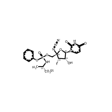 CCOC(=O)[C@H](C)NP(=O)(OC[C@@]1(N=[N+]=[N-])O[C@@H](n2ccc(=O)[nH]c2=O)[C@H](O)[C@@H]1F)Oc1ccccc1